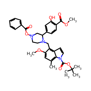 COC(=O)c1ccc(C2CN(OC(=O)c3ccccc3)CCN2Cc2c(OC)cc(C)c3c2ccn3C(=O)OC(C)(C)C)cc1O